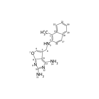 Cc1c(NCc2coc3nc(N)nc(N)c23)ccc2ccccc12